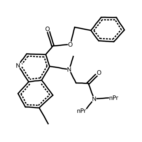 CCCN(CCC)C(=O)CN(C)c1c(C(=O)OCc2ccccc2)cnc2ccc(C)cc12